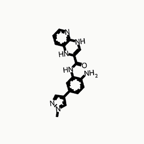 Cn1cc(-c2ccc(N)c(NC(=O)C3=CNc4ncccc4N3)c2)cn1